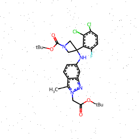 Cc1c2ccc(NC3(c4c(F)ccc(Cl)c4Cl)CN(C(=O)OC(C)(C)C)C3)cc2nn1CC(=O)OC(C)(C)C